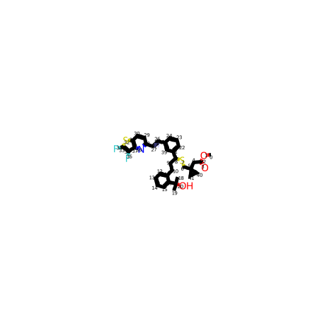 COC(=O)CC1(CSC(CCc2ccccc2C(C)(C)O)c2cccc(/C=C/c3ccc4sc(F)c(F)c4n3)c2)CC1